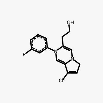 OCCC1=CN2CC=C(Cl)C2=CN1c1cccc(F)c1